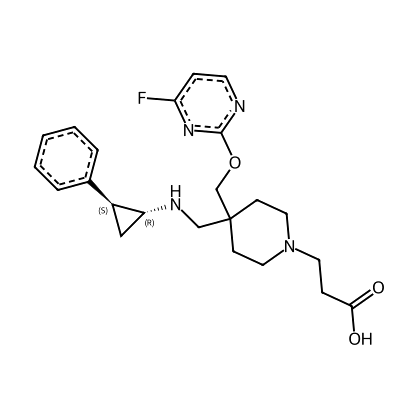 O=C(O)CCN1CCC(CN[C@@H]2C[C@H]2c2ccccc2)(COc2nccc(F)n2)CC1